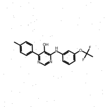 Cc1ccc(-c2ncnc(Nc3cccc(OC(C)(F)F)c3)c2O)cc1